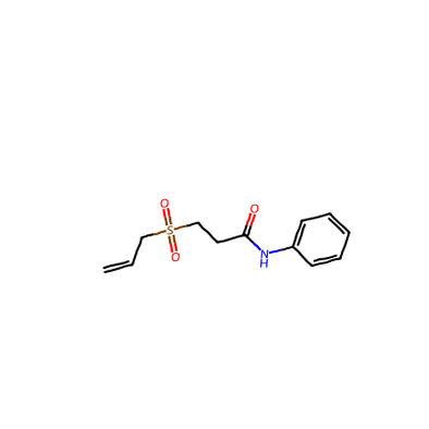 C=CCS(=O)(=O)CCC(=O)Nc1ccccc1